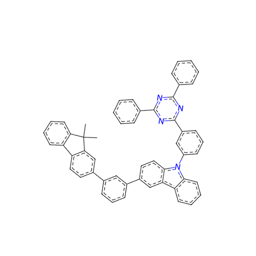 CC1(C)c2ccccc2-c2ccc(-c3cccc(-c4ccc5c(c4)c4ccccc4n5-c4cccc(-c5nc(-c6ccccc6)nc(-c6ccccc6)n5)c4)c3)cc21